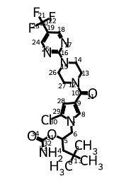 CC(C)(C)CC(Cn1cc(C(=O)N2CCN(c3ncc(C(F)(F)F)cn3)CC2)cc1Cl)OC(N)=O